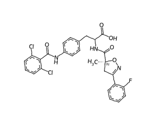 C[C@@]1(C(=O)NC(Cc2ccc(NC(=O)c3c(Cl)cccc3Cl)cc2)C(=O)O)CC(c2ccccc2F)=NO1